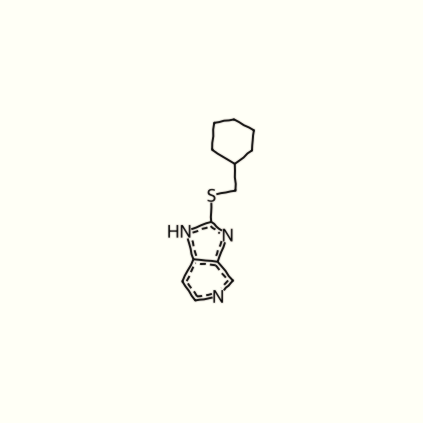 c1cc2[nH]c(SCC3CCCCC3)nc2cn1